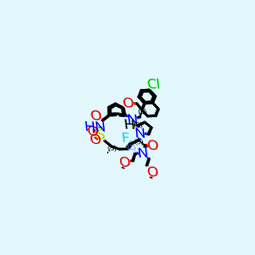 COCCN(CCOC)C(=O)[C@H]1/C(F)=C/C[C@H](C)CS(=O)(=O)NC(=O)c2ccc3c(c2)N(C[C@@]2(CCCc4cc(Cl)ccc42)CO3)[C@@H]2CCCN12